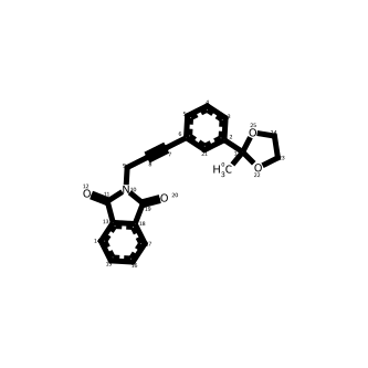 CC1(c2cccc(C#CCN3C(=O)c4ccccc4C3=O)c2)OCCO1